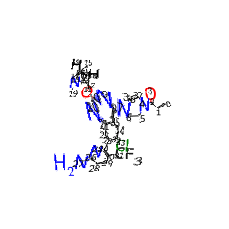 C=CC(=O)N1CCN(c2nc(OC[C@@H]3[C@H]4C[C@H]4CN3C)nc3cc(-c4nc(N)ccc4C(F)(F)F)c(Cl)cc23)CC1